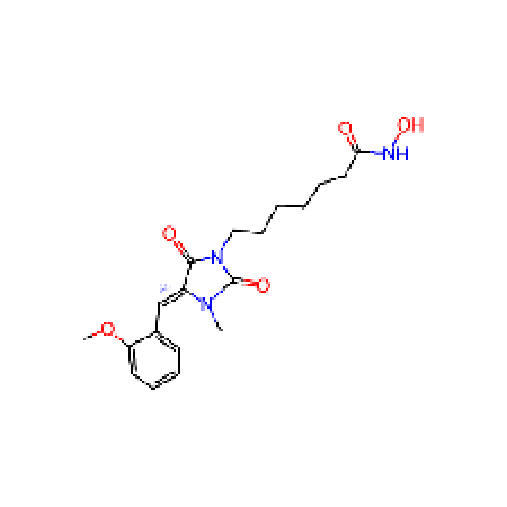 COc1ccccc1/C=C1/C(=O)N(CCCCCCC(=O)NO)C(=O)N1C